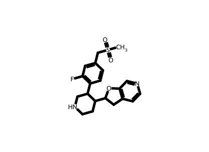 CS(=O)(=O)Cc1ccc(C2CNCCC2C2Cc3ccncc3O2)c(F)c1